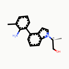 Cc1cccc(-c2cccc3c2ccn3[C@H](C)CO)c1N